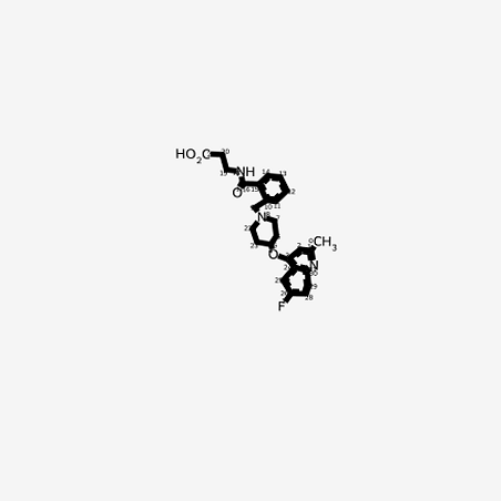 Cc1cc(OC2CCN(Cc3ccccc3C(=O)NCCC(=O)O)CC2)c2cc(F)ccc2n1